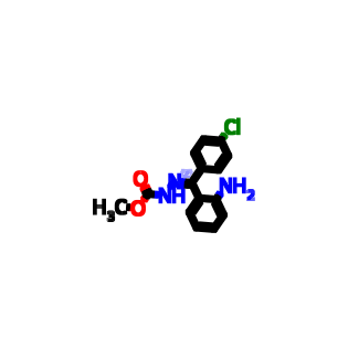 COC(=O)N/N=C(/c1ccc(Cl)cc1)c1ccccc1N